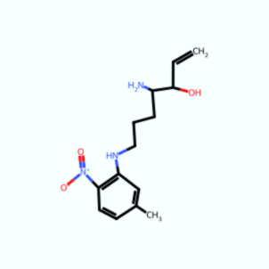 C=CC(O)C(N)CCCNc1cc(C)ccc1[N+](=O)[O-]